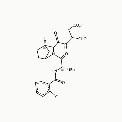 CC(C)(C)[C@H](NC(=O)c1ccccc1Cl)C(=O)N1C2CC[C@@H](C2)C1C(=O)NC(C=O)CC(=O)O